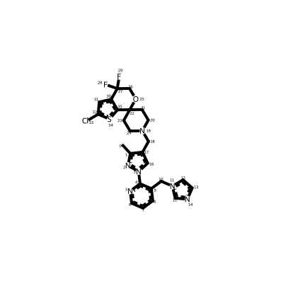 Cc1nn(-c2ncccc2Cn2ccnc2)cc1CN1CCC2(CC1)OCC(F)(F)c1cc(Cl)sc12